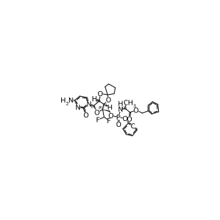 C[C@H](NP(=O)(OC[C@@]1(C(F)F)O[C@@H](n2ccc(N)nc2=O)[C@@H]2OC3(CCCC3)O[C@@H]21)Oc1ccccc1)C(=O)OCc1ccccc1